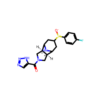 O=C(c1cnn[nH]1)N1C[C@@H]2C3CC([S+]([O-])c4ccc(F)cc4)CC(N3)[C@@H]2C1